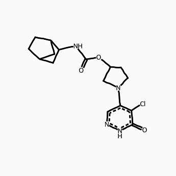 O=C(NC1CC2CCC1C2)OC1CCN(c2cn[nH]c(=O)c2Cl)C1